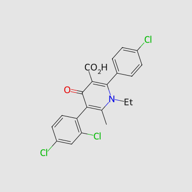 CCn1c(C)c(-c2ccc(Cl)cc2Cl)c(=O)c(C(=O)O)c1-c1ccc(Cl)cc1